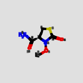 CCON1C(=O)SC[C@H]1C(N)=O